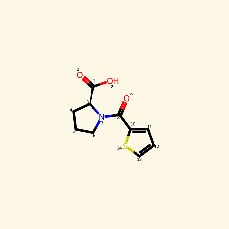 O=C(O)[C@@H]1CCCN1C(=O)c1cccs1